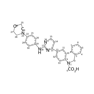 O=C(O)N(Cc1ccccc1)c1ccc(-c2ccnc(Nc3ccc(N4CCOCC4)cc3)n2)cc1